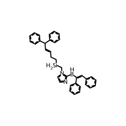 B(C(=Cc1ccccc1)c1ccccc1)c1nccn1C[SiH2]CCC=CC(c1ccccc1)c1ccccc1